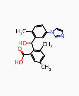 Cc1cc(C)c(C(O)c2cc(-n3ccnc3)ccc2C)c(C(=O)O)c1